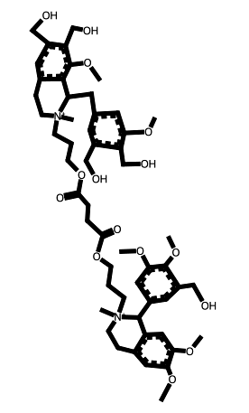 COc1cc2c(cc1OC)C(c1cc(CO)c(OC)c(OC)c1)[N+](C)(CCCOC(=O)CCC(=O)OCCC[N+]1(C)CCc3cc(CO)c(CO)c(OC)c3C1Cc1cc(CO)c(CO)c(OC)c1)CC2